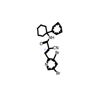 N#C/C(=C\c1ncc(Br)cc1Br)C(=O)NC1(c2ccccc2)CCCCC1